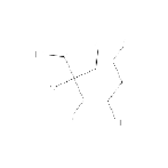 NC(CO)(CO)CO.OCCCS